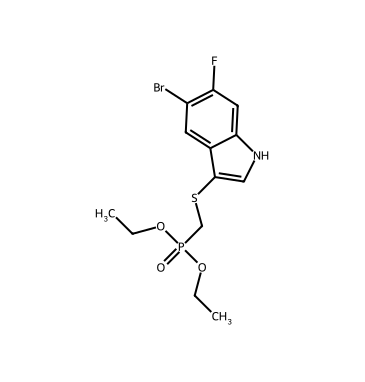 CCOP(=O)(CSc1c[nH]c2cc(F)c(Br)cc12)OCC